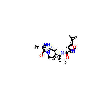 CC(NC(=O)c1cc(C2CC2)on1)C1CCN(C(=O)[C@@H](N)C(C)C)CC1